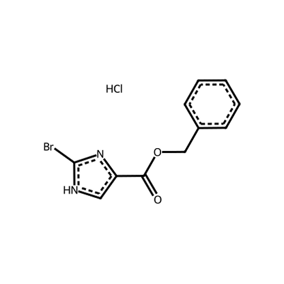 Cl.O=C(OCc1ccccc1)c1c[nH]c(Br)n1